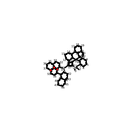 C[Si]1(C)c2ccccc2C2(c3ccccc3-c3cccc4cccc2c34)c2ccc(N(c3ccc4ccccc4c3)c3ccc4ccccc4c3-c3ccccc3)cc21